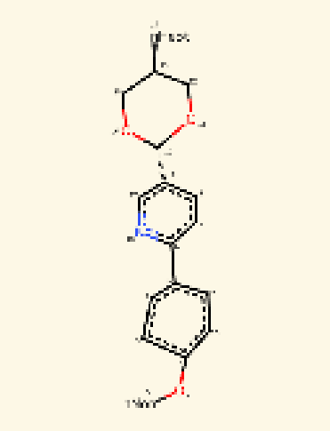 CCCCCCCCCOc1ccc(-c2ccc([C@H]3OC[C@H](CCCCCCC)CO3)cn2)cc1